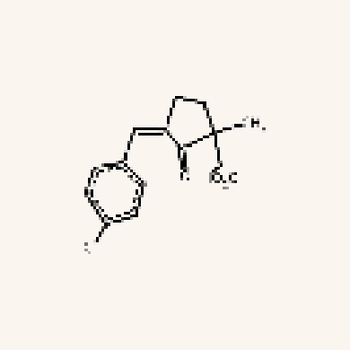 CC1(CC(=O)O)CCC(=Cc2ccc(Cl)cc2)C1=O